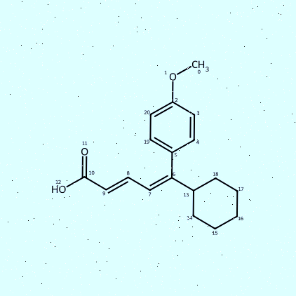 COc1ccc(/C(=C\C=C\C(=O)O)C2CCCCC2)cc1